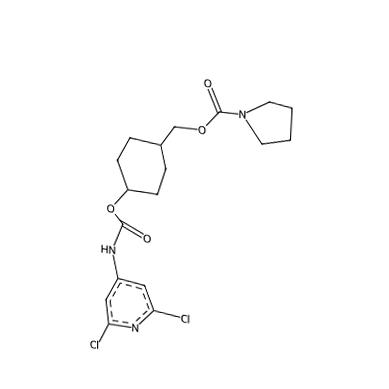 O=C(Nc1cc(Cl)nc(Cl)c1)OC1CCC(COC(=O)N2CCCC2)CC1